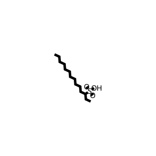 CCCCCCCCCCCC(CC)S(=O)(=O)O